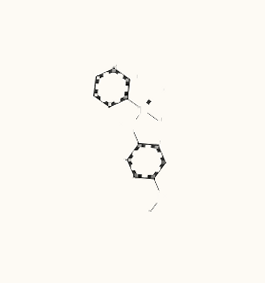 COc1ccc(OP(C)(=O)c2ccccc2)cc1